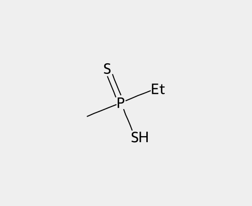 CCP(C)(=S)S